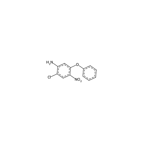 Nc1cc(Oc2ccccc2)c([N+](=O)[O-])cc1Cl